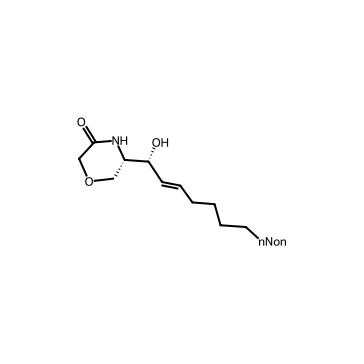 CCCCCCCCCCCCCC=C[C@@H](O)[C@@H]1COCC(=O)N1